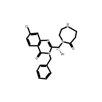 CC(C)[C@H](c1nc2cc(Cl)ccc2c(=O)n1Cc1ccccc1)N1CCNCCC1=O